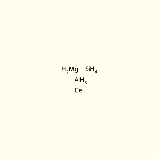 [AlH3].[Ce].[MgH2].[SiH4]